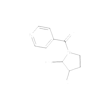 CC(C)(C)C1CCN(C(=O)c2ccncc2)C1C(C)(C)C